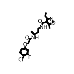 C=C(CCNC(=O)c1c(CC)noc1C)NC(=O)COc1ccc(Cl)c(F)c1